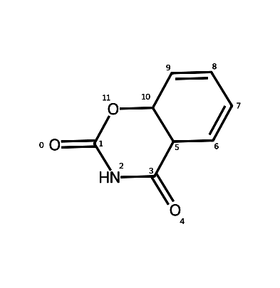 O=C1NC(=O)C2C=CC=CC2O1